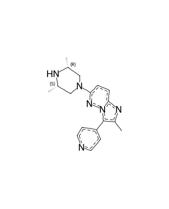 Cc1nc2ccc(N3C[C@@H](C)N[C@@H](C)C3)nn2c1-c1ccncc1